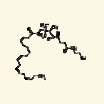 CC/C=C\C/C=C\C/C=C\C/C=C\C/C=C\CC(=O)OCC(C)(C)[C@@H](O)C(=O)NCCC(=O)NCCS